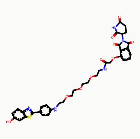 O=C(COc1cccc2c1C(=O)N(C1CCC(=O)NC1=O)C2=O)NCCOCCOCCOCCNc1ccc(-c2nc3ccc(O)cc3s2)cc1